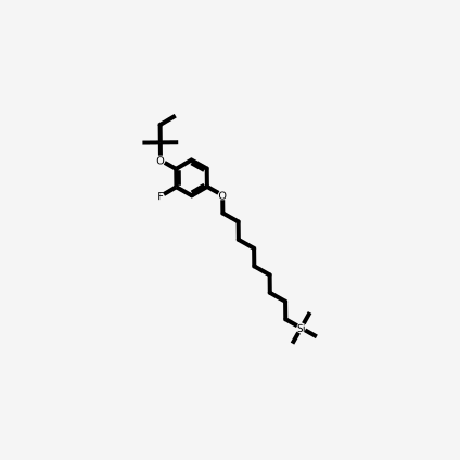 CCC(C)(C)Oc1ccc(OCCCCCCCCC[Si](C)(C)C)cc1F